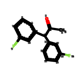 CC(=O)C(c1cccc(F)c1)c1cccc(F)c1